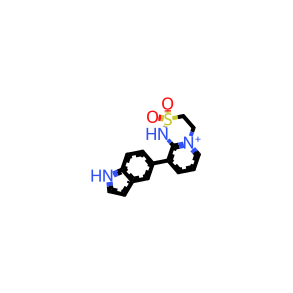 O=S1(=O)CC[n+]2cccc(-c3ccc4[nH]ccc4c3)c2N1